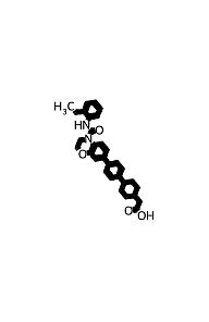 CCc1ccccc1NC(=O)N1CCOc2cc(-c3ccc(C4CCC(CC(=O)O)CC4)cc3)ccc21